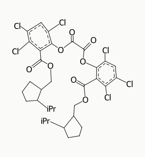 CC(C)C1CCCC1COC(=O)c1c(Cl)c(Cl)cc(Cl)c1OC(=O)C(=O)Oc1c(Cl)cc(Cl)c(Cl)c1C(=O)OCC1CCCC1C(C)C